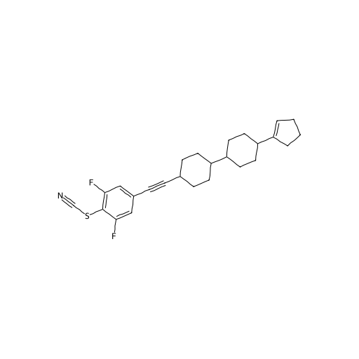 N#CSc1c(F)cc(C#CC2CCC(C3CCC(C4=CCCC4)CC3)CC2)cc1F